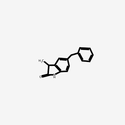 CC1C(=O)Nc2ccc(Cc3ccccc3)cc21